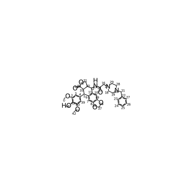 COc1cc(C2c3cc4c(cc3C(NC(=O)CN3CCN(Cc5ccccc5)CC3)C3COC(=O)C23)OCO4)cc(OC)c1O